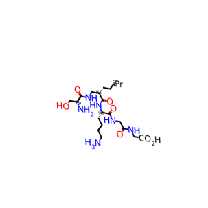 CC(C)CC[C@@H](CNC(=O)[C@@H](N)CO)C(=O)N[C@@H](CCCCN)C(=O)NCC(=O)NCC(=O)O